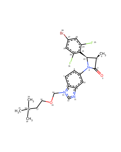 C[C@H]1C(=O)N(c2ccc3c(c2)ncn3COCC[Si](C)(C)C)[C@H]1c1c(F)cc(Br)cc1F